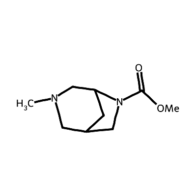 COC(=O)N1CC2CC1CN(C)C2